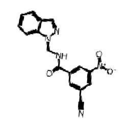 N#Cc1cc(C(=O)NCn2ncc3ccccc32)cc([N+](=O)[O-])c1